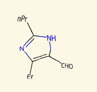 CCCc1nc(CC)c(C=O)[nH]1